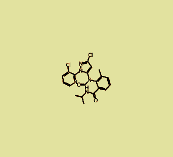 Cc1cccc(C(=O)NC(C)C)c1N(C=O)c1cc(Cl)nn1-c1ncccc1Cl